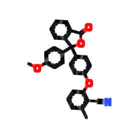 COc1ccc(C2(c3ccc(Oc4cccc(C)c4C#N)cc3)OC(=O)c3ccccc32)cc1